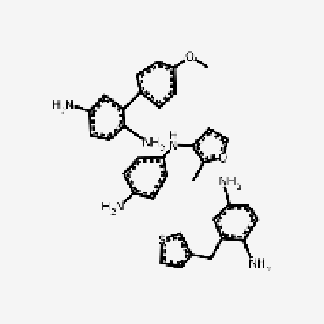 COc1ccc(-c2cc(N)ccc2N)cc1.Cc1occc1Nc1ccc(N)cc1.Nc1ccc(N)c(Cc2ccsc2)c1